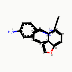 CC1=NN(c2ccc(N)cc2)C23C=CC=CC24C=COC4=CC=C13